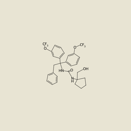 O=C(NC1(CO)CCCC1)NC(Cc1ccccc1)(c1cccc(OC(F)(F)F)c1)c1cccc(OC(F)(F)F)c1